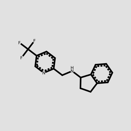 FC(F)(F)c1ccc(CNC2CCc3ccccc32)nc1